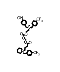 C[N+](CCOC(=O)OCOC(=O)CCC[N+]1(Cc2ccc(C(F)(F)F)cc2)CCCCC1)(Cc1ccc(N=O)cc1)Cc1ccc(C(F)(F)F)cc1